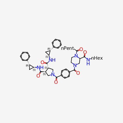 CCCCCCNC(=O)C1CN(C(=O)c2ccc(C(=O)N3C[C@@H](C(=O)N[C@H]4C[C@@H]4c4ccccc4)[C@H](C(=O)N[C@H]4C[C@@H]4c4ccccc4)C3)cc2)CCN1C(=O)CCCCC